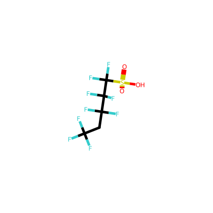 O=S(=O)(O)C(F)(F)C(F)(F)C(F)(F)CC(F)(F)F